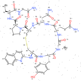 CC[C@H](C)[C@@H]1NC(=O)[C@H](Cc2ccc(O)cc2)NC(=O)[C@@H](Nc2ccc3ccccc3n2)CSSC[C@@H](C(=O)N2CCC[C@H]2C(=O)N[C@@H](CC(C)C)C(=O)NCC(N)=O)NC(=O)[C@H](CC(N)=O)NC(=O)[C@H](CCC(N)=O)NC1=O